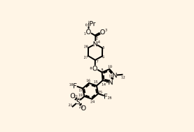 CC(C)OC(=O)N1CCC(Oc2cn(C)nc2-c2cc(F)c(S(C)(=O)=O)cc2F)CC1